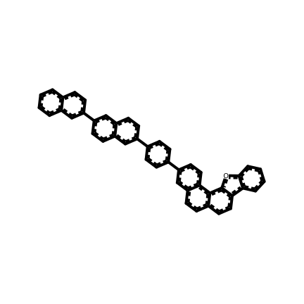 c1ccc2cc(-c3ccc4cc(-c5ccc(-c6ccc7c(ccc8ccc9c%10ccccc%10oc9c87)c6)cc5)ccc4c3)ccc2c1